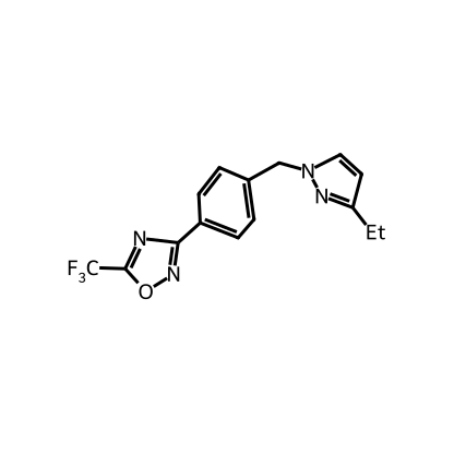 CCc1ccn(Cc2ccc(-c3noc(C(F)(F)F)n3)cc2)n1